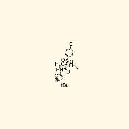 CC(C)(C)c1cc(NC(=O)C(C)(C)S(=O)(=O)c2ccc(Cl)cc2)on1